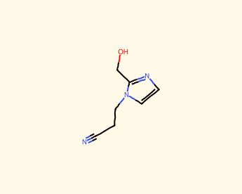 N#CCCn1ccnc1CO